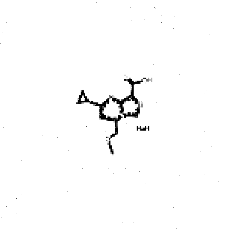 COCc1cc(C2CC2)nc2c(C(=O)O)ncn12.[NaH]